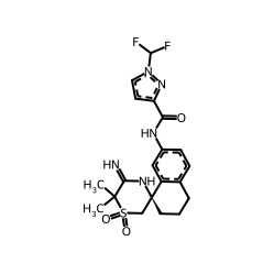 CC1(C)C(=N)N[C@@]2(CCCc3ccc(NC(=O)c4ccn(C(F)F)n4)cc32)CS1(=O)=O